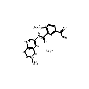 COc1ccc(C(=O)C(C)(C)C)cc1C(=O)Nc1cnc2c(c1)CN(C)CC2.Cl